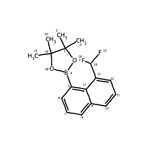 CC1(C)OB(c2cccc3cccc(C(F)F)c23)OC1(C)C